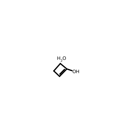 O.OC1=CCC1